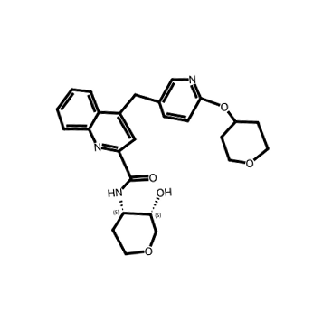 O=C(N[C@H]1CCOC[C@H]1O)c1cc(Cc2ccc(OC3CCOCC3)nc2)c2ccccc2n1